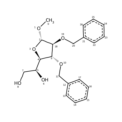 CO[C@H]1O[C@H]([C@@H](O)CO)[C@@H](OCc2ccccc2)[C@@H]1OCc1ccccc1